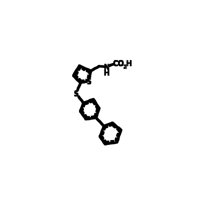 O=C(O)NCc1ccc(Sc2ccc(-c3ccccc3)cc2)s1